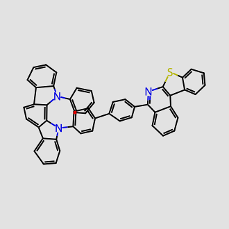 c1ccc(-n2c3ccccc3c3ccc4c5ccccc5n(-c5ccc(-c6ccc(-c7nc8sc9ccccc9c8c8ccccc78)cc6)cc5)c4c32)cc1